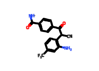 N#CC(C(=O)c1ccc(C([NH])=O)cc1)c1ccc(C(F)(F)F)cc1N